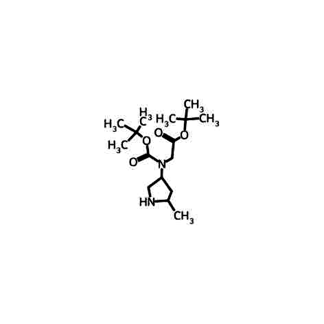 CC1CC(N(CC(=O)OC(C)(C)C)C(=O)OC(C)(C)C)CN1